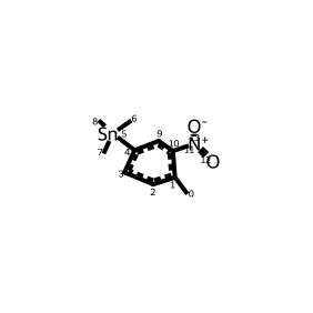 Cc1cc[c]([Sn]([CH3])([CH3])[CH3])cc1[N+](=O)[O-]